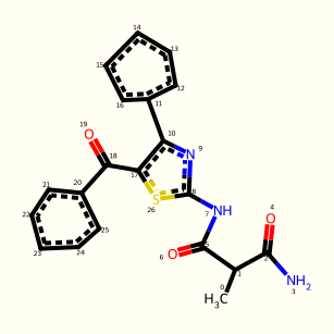 C[C](C(N)=O)C(=O)Nc1nc(-c2ccccc2)c(C(=O)c2ccccc2)s1